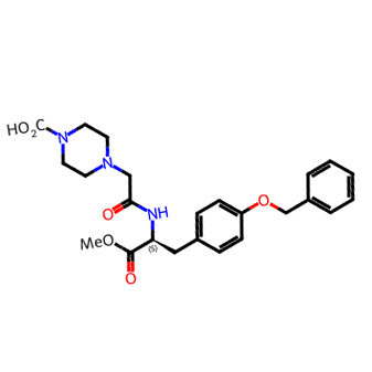 COC(=O)[C@H](Cc1ccc(OCc2ccccc2)cc1)NC(=O)CN1CCN(C(=O)O)CC1